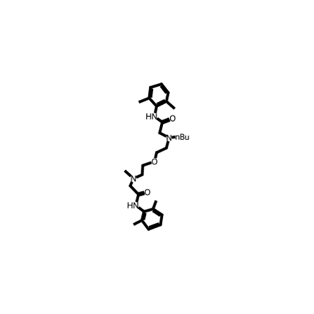 CCCCN(CCOCCN(C)CC(=O)Nc1c(C)cccc1C)CC(=O)Nc1c(C)cccc1C